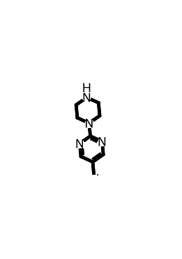 [CH2]c1cnc(N2CCNCC2)nc1